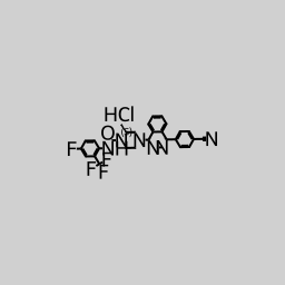 C[C@H]1CN(c2nnc(-c3ccc(C#N)cc3)c3ccccc23)CCN1C(=O)Nc1ccc(F)cc1C(F)(F)F.Cl